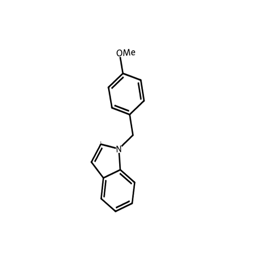 COc1ccc(Cn2[c]cc3ccccc32)cc1